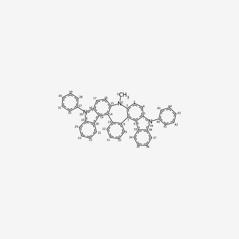 CN1c2ccc3c(c2-c2ccccc2-c2c1ccc1c2c2ccccc2n1-c1ccccc1)c1ccccc1n3-c1ccccc1